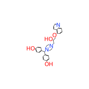 Oc1ccc(C(c2ccc(O)cc2)N2CCN(CC(O)COc3cccc4ncccc34)CC2)cc1